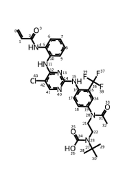 C=CC(=O)Nc1ccccc1Nc1nc(Nc2ccc(N(CCN(C(=O)O)C(C)(C)C)C(C)=O)cc2C(F)(F)F)ncc1Cl